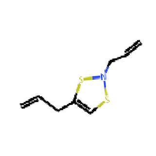 C=CCC1=CSN(CC=C)S1